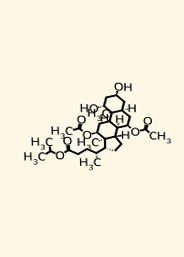 CC(=O)O[C@H]1C[C@H]2[C@@H]([C@H](OC(C)=O)C[C@@H]3C[C@H](O)C[C@@H](O)[C@@]32C)[C@@H]2CC[C@H]([C@H](C)CCC(=O)OC(C)C)[C@@]12C